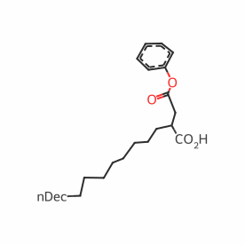 CCCCCCCCCCCCCCCCCCC(CC(=O)Oc1ccccc1)C(=O)O